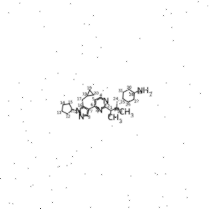 CC(c1nccc(-c2cnn(C3CCCC3)c2CC2CC2)n1)[C@H](C)C[C@H]1CC[C@H](N)CC1